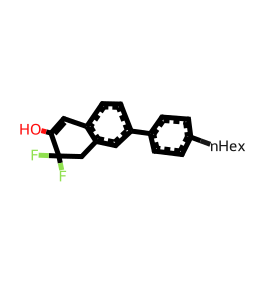 CCCCCCc1ccc(-c2ccc3c(c2)CC(F)(F)C(O)=C3)cc1